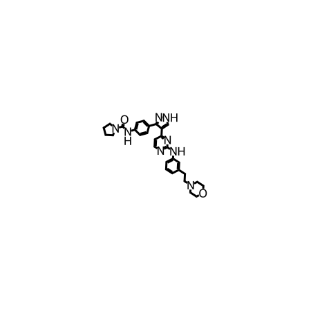 O=C(Nc1ccc(-c2n[nH]cc2-c2ccnc(Nc3cccc(CCN4CCOCC4)c3)n2)cc1)N1CCCC1